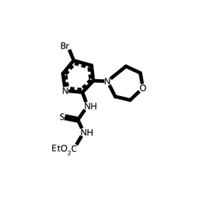 CCOC(=O)NC(=S)Nc1ncc(Br)cc1N1CCOCC1